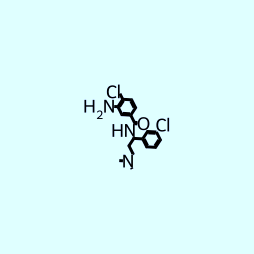 CN(C)CCC(NC(=O)c1ccc(Cl)c(N)c1)c1cccc(Cl)c1